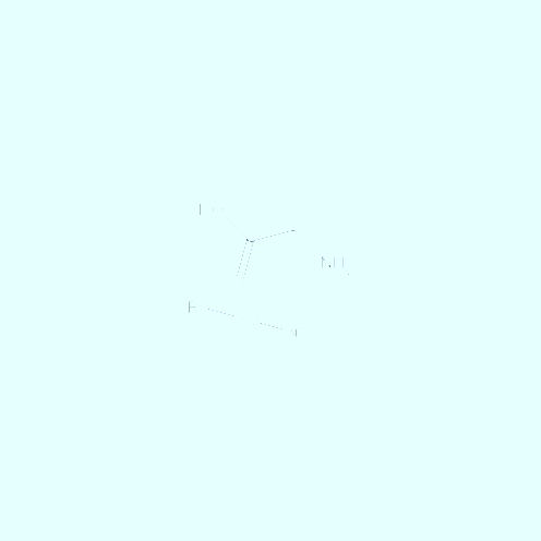 NCC(=O)O.[Br][Ca][Br]